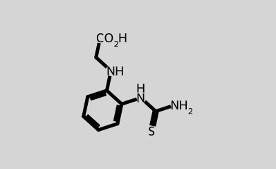 NC(=S)Nc1ccccc1NCC(=O)O